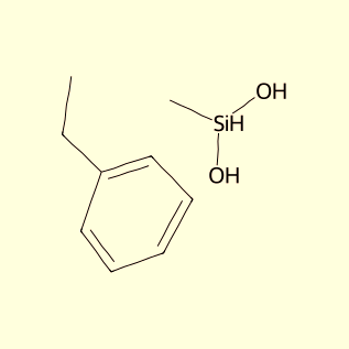 CCc1ccccc1.C[SiH](O)O